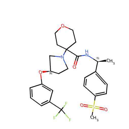 C[C@H](NC(=O)C1(N2CC[C@@H](Oc3cccc(C(F)(F)F)c3)C2)CCOCC1)c1ccc(S(C)(=O)=O)cc1